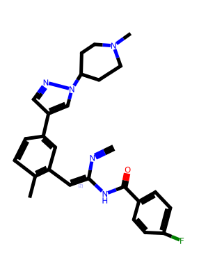 C=N/C(=C\c1cc(-c2cnn(C3CCN(C)CC3)c2)ccc1C)NC(=O)c1ccc(F)cc1